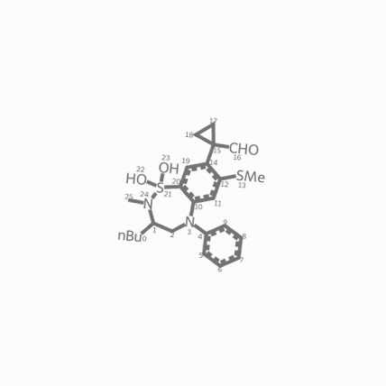 CCCCC1CN(c2ccccc2)c2cc(SC)c(C3(C=O)CC3)cc2S(O)(O)N1C